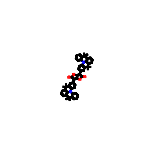 CC1(C)c2ccccc2N2c3ccc(C4=C5OC(=O)C(c6ccc7c(c6)C(C)(C)c6cccc8c6N7c6ccccc6C8(C)C)=C5OC4=O)cc3C(C)(C)c3cccc1c32